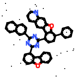 c1ccc(-c2ccc(-c3nc(-c4ccc5ccccc5c4)nc(-c4cccc5oc6ccccc6c45)n3)c3c2oc2cc4ncccc4cc23)cc1